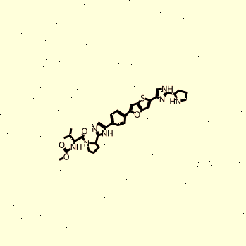 COC(=O)N[C@H](C(=O)N1CCCC1c1ncc(-c2ccc(-c3cc4sc(-c5c[nH]c(C6CCCN6)n5)cc4o3)cc2)[nH]1)C(C)C